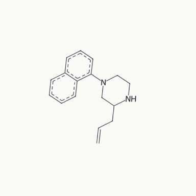 C=CCC1CN(c2cccc3ccccc23)CCN1